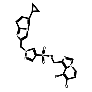 O=S(=O)(NCc1ncn2ccc(Cl)c(F)c12)c1cnn(Cc2cn3cc(C4CC4)ccc3n2)c1